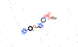 CC(C)(C)OC(=O)ON1CCC(n2ncc(COc3ccc(-n4cnnn4)cc3F)n2)CC1